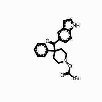 CC(C)(C)C(=O)ON1CCC(C(=O)c2ccc3[nH]ccc3c2)(c2ccccc2)CC1